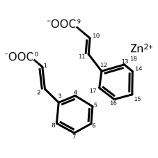 O=C([O-])C=Cc1ccccc1.O=C([O-])C=Cc1ccccc1.[Zn+2]